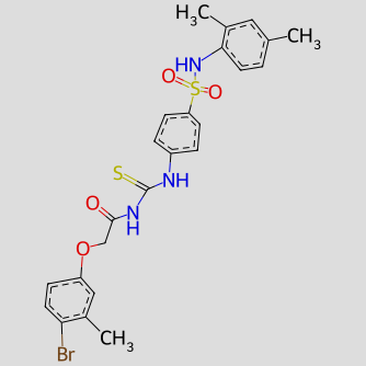 Cc1ccc(NS(=O)(=O)c2ccc(NC(=S)NC(=O)COc3ccc(Br)c(C)c3)cc2)c(C)c1